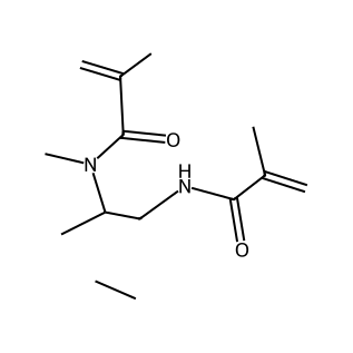 C=C(C)C(=O)NCC(C)N(C)C(=O)C(=C)C.CC